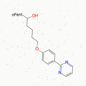 CCCCCC(O)CCCCOc1ccc(-c2ncccn2)cc1